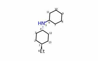 CC[C@H]1CC[C@H](NC2CCCCC2)CC1